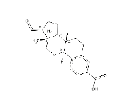 C[C@]12CC[C@@H]3c4ccc(C(=O)O)cc4CC[C@H]3[C@@H]1CC[C@@H]2C=O